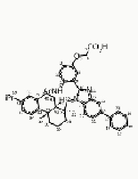 CC(=O)Nc1ccc(OCC(=O)O)cc1-c1nc2cc(-c3ccccc3)ccc2n1C[C@@]1(C)CCC[C@]2(C)c3ccc(C(C)C)cc3CC[C@@H]12